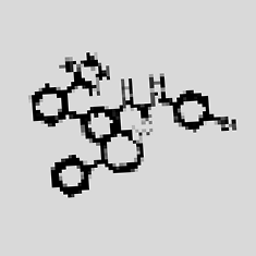 O=C(Nc1ccc(Br)cc1)Nc1cc(-c2ccccc2-c2nnn[nH]2)cc2c1OCC=CC2c1ccccc1